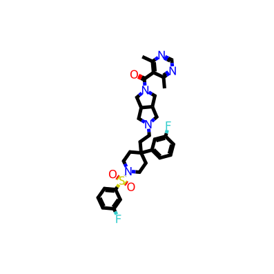 Cc1ncnc(C)c1C(=O)N1CC2CN(CCC3(c4cccc(F)c4)CCN(S(=O)(=O)c4cccc(F)c4)CC3)CC2C1